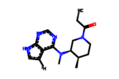 [2H]c1c[nH]c2ncnc(N(C)[C@H]3CN(C(=O)C[N+]#[C-])CC[C@H]3C)c12